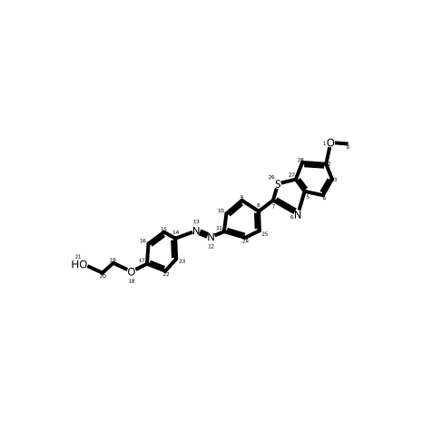 COc1ccc2nc(-c3ccc(N=Nc4ccc(OCCO)cc4)cc3)sc2c1